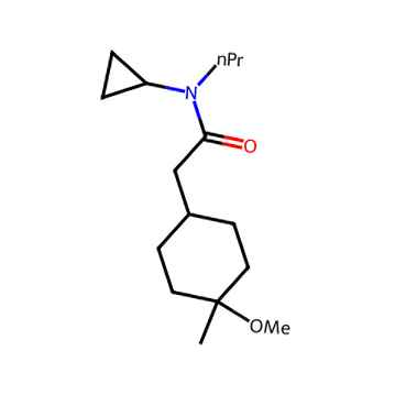 CCCN(C(=O)CC1CCC(C)(OC)CC1)C1CC1